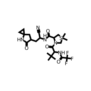 CC(C)(C)C(NC(=O)C(F)(F)F)C(=O)N1C[Si](C)(C)CC1C(=O)NC(C#N)CC1CC2(CC2)NC1=O